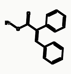 CC(C)OC(=O)C(=Cc1ccccc1)c1ccccc1